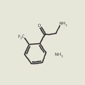 N.NCC(=O)c1ccccc1C(F)(F)F